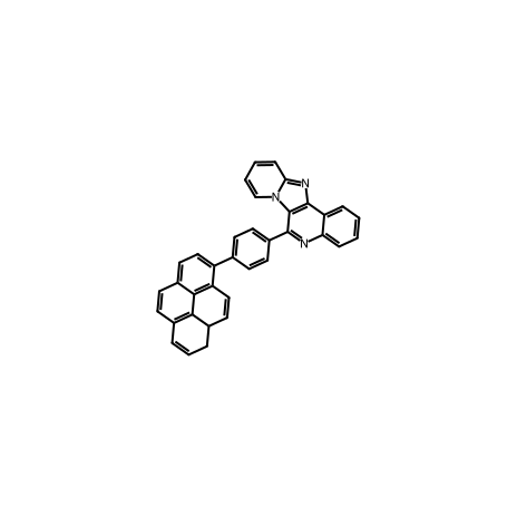 C1=Cc2ccc3ccc(-c4ccc(-c5nc6ccccc6c6nc7ccccn7c56)cc4)c4c3c2C(C=C4)C1